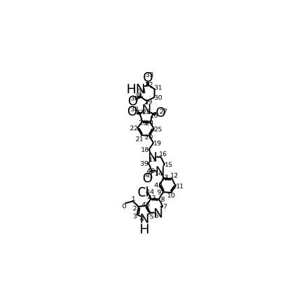 CCc1c[nH]c2ncc(-c3cccc(N4CCN(CCc5ccc6c(c5)C(=O)N(C5CCC(=O)NC5=O)C6=O)CC4=O)c3)c(Cl)c12